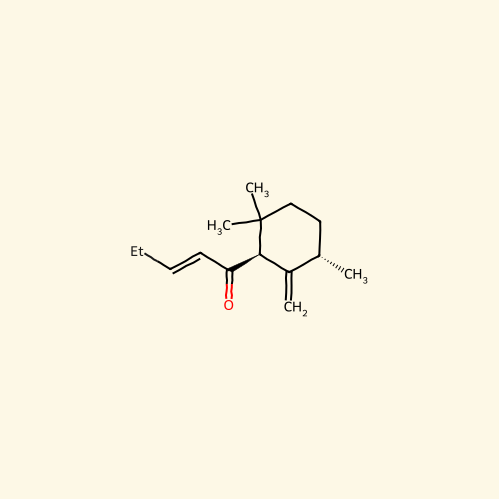 C=C1[C@@H](C(=O)C=CCC)C(C)(C)CC[C@@H]1C